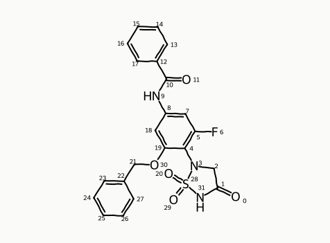 O=C1CN(c2c(F)cc(NC(=O)c3ccccc3)cc2OCc2ccccc2)S(=O)(=O)N1